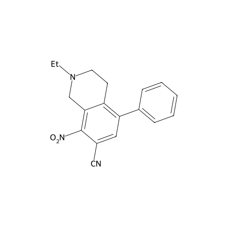 CCN1CCc2c(-c3ccccc3)cc(C#N)c([N+](=O)[O-])c2C1